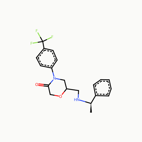 C[C@@H](NCC1CN(c2ccc(C(F)(F)F)cc2)C(=O)CO1)c1ccccc1